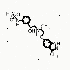 Cc1n[nH]c2cc(OC[C@@H](C)NC[C@H](O)c3cccc(NS(C)(=O)=O)c3)ccc12